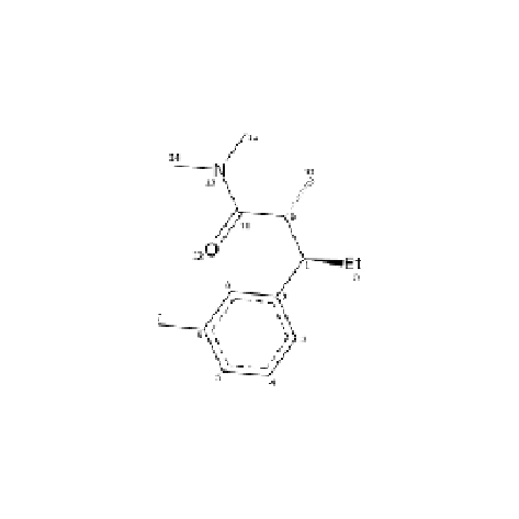 CC[C@@H](c1cccc(C)c1)[C@@H](C)C(=O)N(C)C